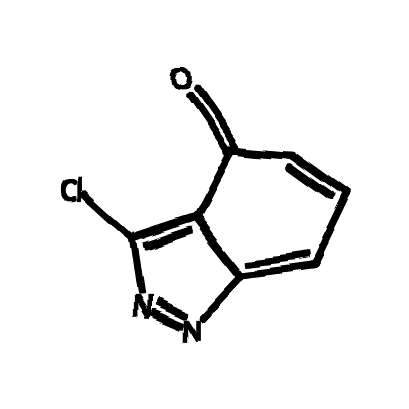 O=C1C=CC=C2N=NC(Cl)=C12